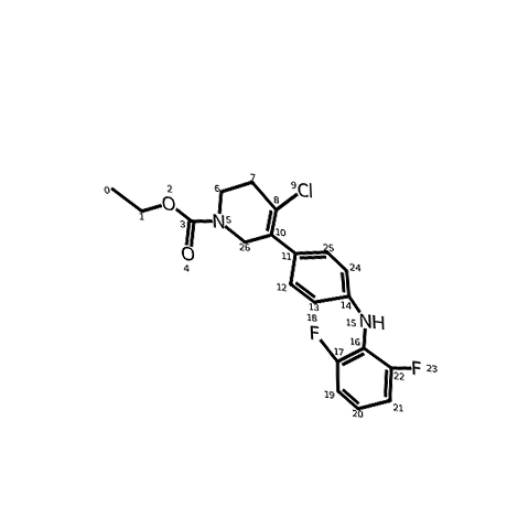 CCOC(=O)N1CCC(Cl)=C(c2ccc(Nc3c(F)cccc3F)cc2)C1